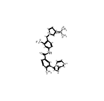 Cc1ccc(C(=O)Nc2ccc(CN3CC[C@@H](N(C)C)C3)c(C(F)(F)F)c2)cc1-c1cnc2cnccn12